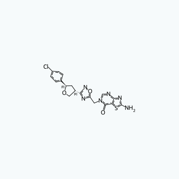 Nc1nc2ncn(Cc3nc([C@@H]4CO[C@@H](c5ccc(Cl)cc5)C4)no3)c(=O)c2s1